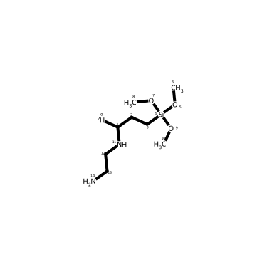 [2H]C(CC[Si](OC)(OC)OC)NCCN